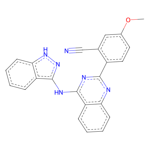 COc1ccc(-c2nc(Nc3n[nH]c4ccccc34)c3ccccc3n2)c(C#N)c1